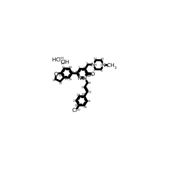 CN1CCN(Cc2cc(-c3ccc4c(c3)CCO4)nn(CC=Cc3ccc(Cl)cc3)c2=O)CC1.Cl.Cl